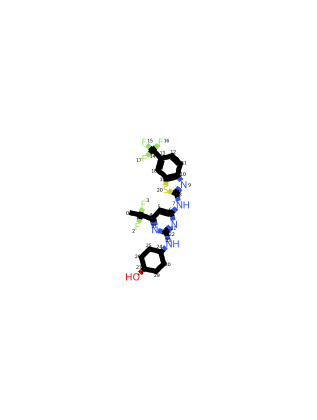 CC(F)(F)c1cc(Nc2nc3ccc(C(F)(F)F)cc3s2)nc(NC2CCC(O)CC2)n1